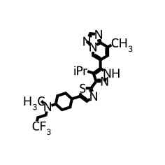 Cc1cc(-c2[nH]nc(-c3ncc(C4CCC(N(C)CCC(F)(F)F)CC4)s3)c2C(C)C)cn2ncnc12